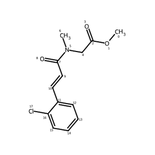 COC(=O)CN(C)C(=O)/C=C/c1ccccc1Cl